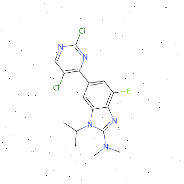 CC(C)n1c(N(C)C)nc2c(F)cc(-c3nc(Cl)ncc3Cl)cc21